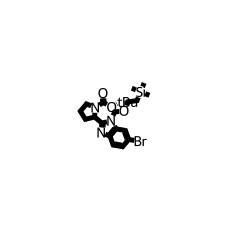 CC(C)(C)OC(=O)N1CCCC1c1nc2ccc(Br)cc2n1COCC[Si](C)(C)C